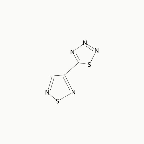 [c]1nsnc1-c1nnns1